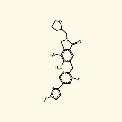 Cc1c(Cc2ccc(-c3ccn(C)n3)cc2F)cc2c(c1C)CN(CC1CCCO1)C2=O